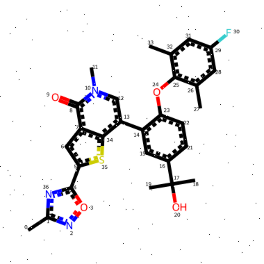 Cc1noc(-c2cc3c(=O)n(C)cc(-c4cc(C(C)(C)O)ccc4Oc4c(C)cc(F)cc4C)c3s2)n1